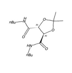 CCCCNC(=O)[C@@H]1OC(C)(C)O[C@H]1C(=O)NCCCC